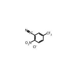 N#[N+]c1cc(C(F)(F)F)ccc1[N+](=O)[O-].[Cl-]